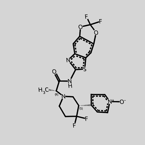 C[C@H](C(=O)Nc1nc2cc3c(cc2s1)OC(F)(F)O3)N1CCC(F)(F)[C@@H](c2cc[n+]([O-])cc2)C1